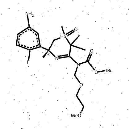 COCCOCN(C(=O)OC(C)(C)C)C1=N[C@](C)(c2cc(N)ccc2F)C[SH](C)(=O)C1(C)C